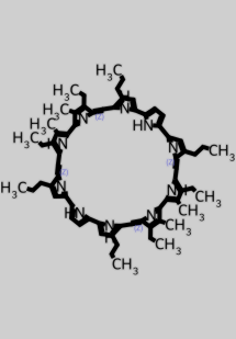 CCCC1=CC2=N/C1=C\c1[nH]c(c(C)c1CC)C1=N/C(=C\c3[nH]c(cc3CCC)-c3ccc([nH]3)C3=N/C(=C\c4[nH]c(c(C)c4CC)C4=N/C(=C\c5[nH]c(cc5CCC)-c5ccc2[nH]5)C(CC)=C4C)C(CCC)=C3)C(CC)=C1C